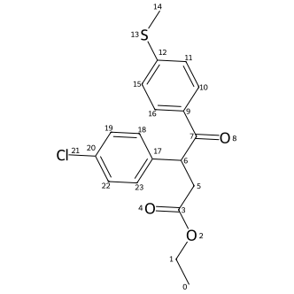 CCOC(=O)CC(C(=O)c1ccc(SC)cc1)c1ccc(Cl)cc1